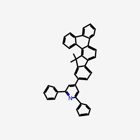 CC1(C)c2cc(-c3cc(-c4ccccc4)nc(-c4ccccc4)c3)ccc2-c2ccc3c4ccccc4c4ccccc4c3c21